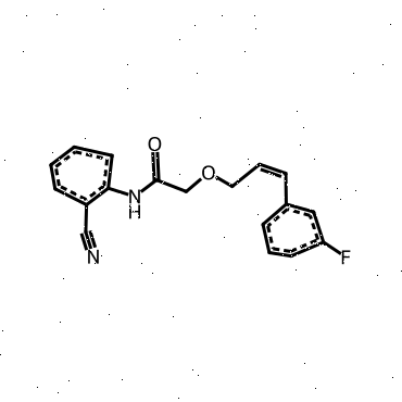 N#Cc1ccccc1NC(=O)COC/C=C\c1cccc(F)c1